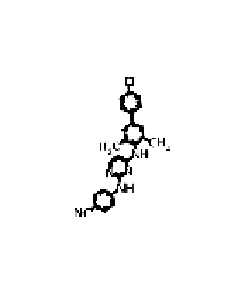 Cc1cc(-c2ccc(Cl)cc2)cc(C)c1Nc1ccnc(Nc2ccc(C#N)cc2)n1